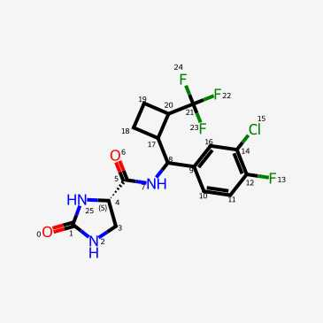 O=C1NC[C@@H](C(=O)NC(c2ccc(F)c(Cl)c2)C2CCC2C(F)(F)F)N1